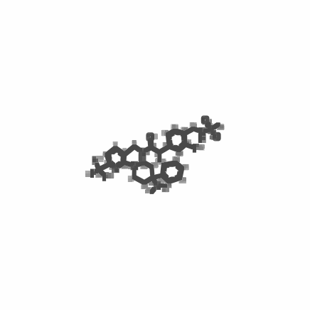 CC(C(=O)NCc1ccc(C(F)(F)F)nc1N1CCC(c2ccccc2)(N(C)C)CC1)c1ccc(CNS(C)(=O)=O)c(F)c1